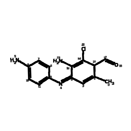 CC1=C/C(=N/c2ccc(N)cc2)C(N)=C(Cl)C1C=O